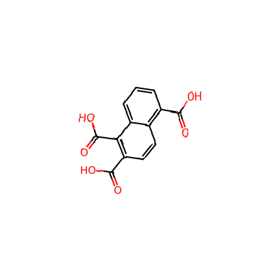 O=C(O)c1ccc2c(C(=O)O)cccc2c1C(=O)O